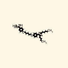 CCCCCc1nc(-c2ccc(OCCCCCOc3ccc(C(=N)NO)cc3)cc2)c(CCCC)s1